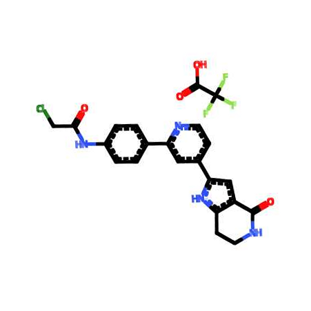 O=C(CCl)Nc1ccc(-c2cc(-c3cc4c([nH]3)CCNC4=O)ccn2)cc1.O=C(O)C(F)(F)F